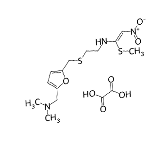 CSC(=C[N+](=O)[O-])NCCSCc1ccc(CN(C)C)o1.O=C(O)C(=O)O